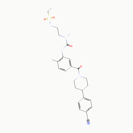 CCS(=O)(=O)NCCN(C)C(=O)Nc1cc(C(=O)N2CCC(c3ccc(C#N)cc3)CC2)ccc1C